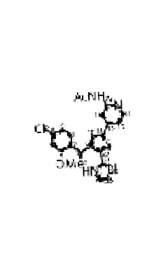 COC(c1ccc(Cl)cc1)c1cc(-c2ccnc(NC(C)=O)c2)sc1-c1nnc[nH]1